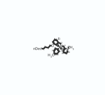 CCCCCCCCCCCCCCOc1cccc(CN(Cc2cccc[n+]2C)S(=O)(=O)c2ccc(C)cc2)c1.[I-]